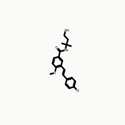 COc1ccc(C(=O)NC(C)(C)CCO)cc1C=Cc1ccc(Cl)cc1